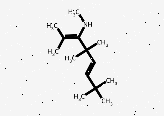 CNC(=C(C)C)C(C)(C)/C=C/C(C)(C)C